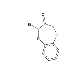 CCC1Oc2ccccc2OCC1=O